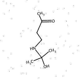 CC(=O)CCNC(C)(C)O